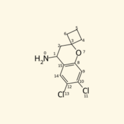 NC1CC2(CCC2)Oc2cc(Cl)c(Cl)cc21